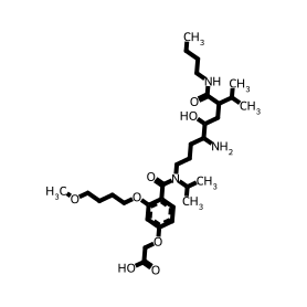 CCCCNC(=O)C(CC(O)C(N)CCCN(C(=O)c1ccc(OCC(=O)O)cc1OCCCCOC)C(C)C)C(C)C